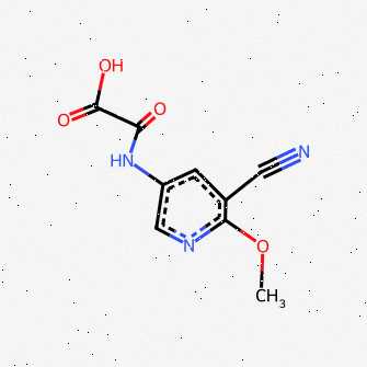 COc1ncc(NC(=O)C(=O)O)cc1C#N